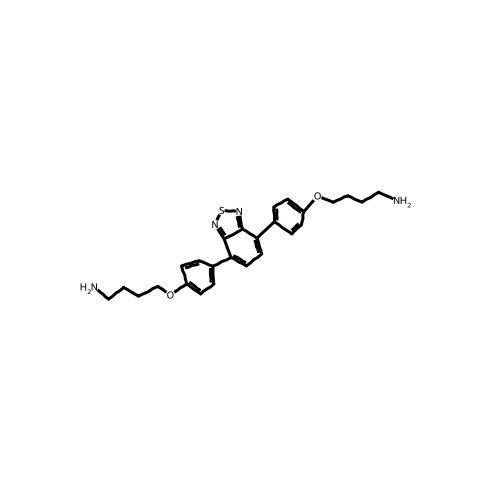 NCCCCOc1ccc(-c2ccc(-c3ccc(OCCCCN)cc3)c3nsnc23)cc1